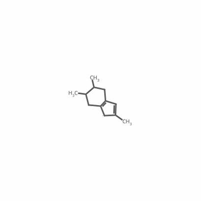 CC1=CC2=C([CH]1)CC(C)C(C)C2